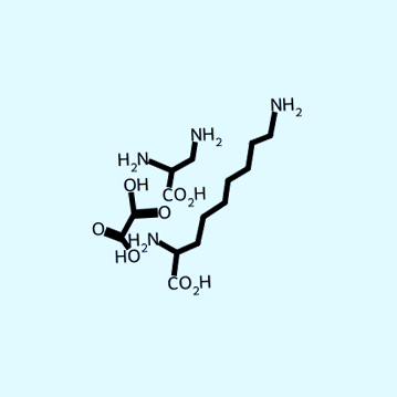 NCC(N)C(=O)O.NCCCCCCCC(N)C(=O)O.O=C(O)C(=O)O